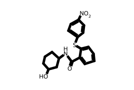 O=C(NC1CCCC(O)C1)c1ccccc1Sc1ccc([N+](=O)[O-])cc1